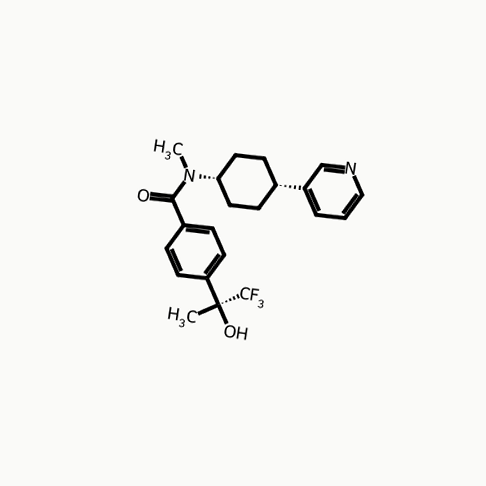 CN(C(=O)c1ccc([C@](C)(O)C(F)(F)F)cc1)[C@H]1CC[C@@H](c2cccnc2)CC1